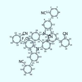 N#Cc1ccccc1-c1ccc2c(c1)c1cc(-c3ccccc3C#N)ccc1n2-c1ccc(C(F)(F)F)cc1-c1c(C#N)cccc1-n1c2ccc(-c3ccccc3C#N)cc2c2cc(-c3ccccc3C#N)ccc21